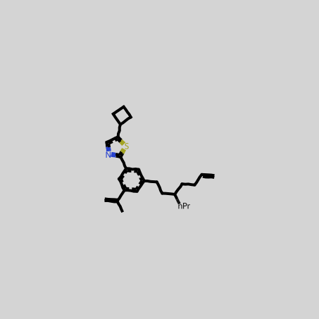 C=CCCC(CCC)CCc1cc(C(=C)C)cc(-c2ncc(C3CCC3)s2)c1